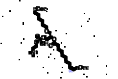 CCCCCCCCCC/C=C\CCCCCCCC(=O)O[C@H](COCCCCCCCCCCCCCCCC)COP(=O)(O)OCC[N+](C)(C)C